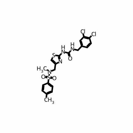 Cc1ccc(S(=O)(=O)N(C)Cc2csc(NC(=O)NCc3ccc(Cl)c(Cl)c3)n2)cc1